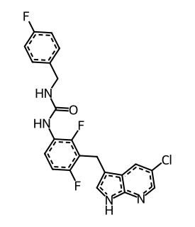 O=C(NCc1ccc(F)cc1)Nc1ccc(F)c(Cc2c[nH]c3ncc(Cl)cc23)c1F